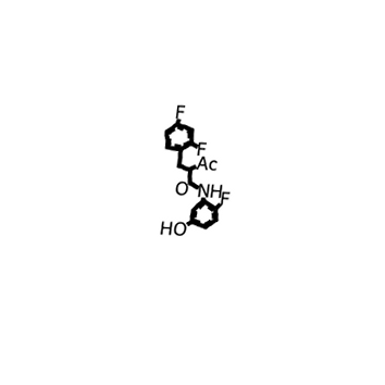 CC(=O)C(Cc1ccc(F)cc1F)C(=O)Nc1cc(O)ccc1F